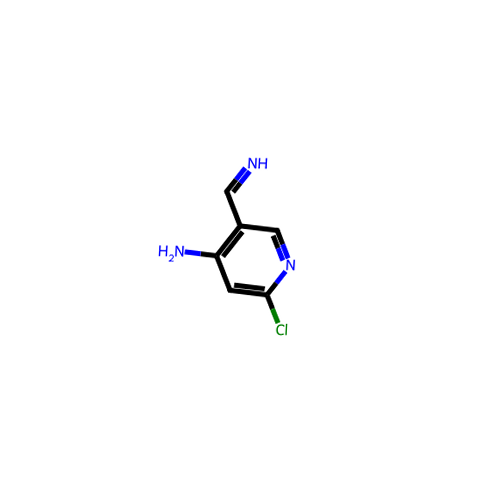 N=Cc1cnc(Cl)cc1N